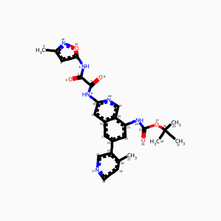 Cc1cc(NC(=O)C(=O)Nc2cc3cc(-c4cnccc4C)cc(NC(=O)OC(C)(C)C)c3cn2)on1